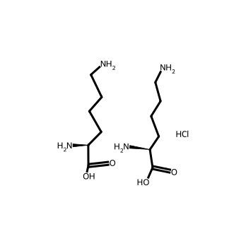 Cl.NCCCC[C@H](N)C(=O)O.NCCCC[C@H](N)C(=O)O